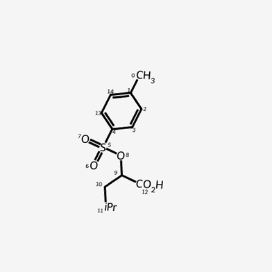 Cc1ccc(S(=O)(=O)OC(CC(C)C)C(=O)O)cc1